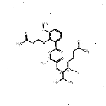 COc1ccnc(C(=O)N[C@@H](C)C(=O)O[C@H](C(C)C)[C@H](C)OCCC(C)C)c1OCOC(C)=O